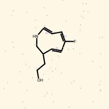 OCCC1/C=C/C(F)=C\C=C\NC1